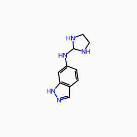 c1cc2cn[nH]c2cc1NC1NCCN1